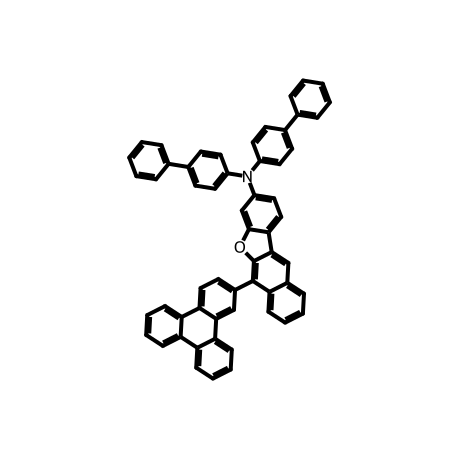 c1ccc(-c2ccc(N(c3ccc(-c4ccccc4)cc3)c3ccc4c(c3)oc3c(-c5ccc6c7ccccc7c7ccccc7c6c5)c5ccccc5cc34)cc2)cc1